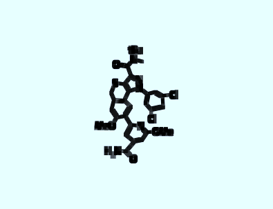 COc1cc(C(N)=O)cc(-c2cc3c(cc2OC)CSc2c(C(=O)N(C)C(C)(C)C)nn(-c4cc(Cl)cc(Cl)c4)c2-3)n1